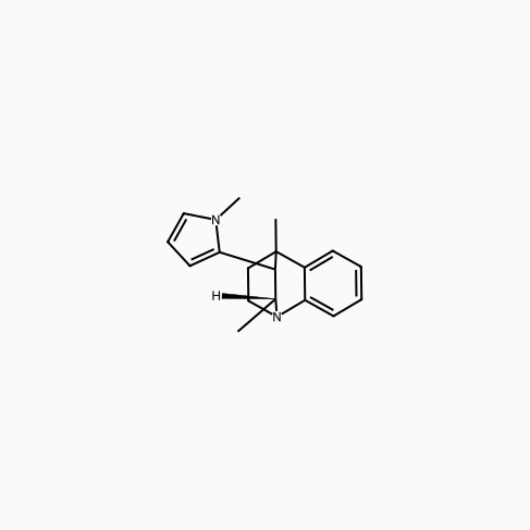 C[C@@H]1C(c2cccn2C)C2(C)CCN1c1ccccc12